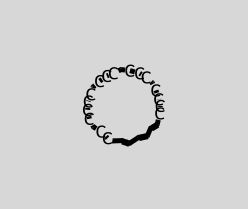 [C]1=C/C=C/C=C/CCCCCCCCCCCCCCCCCCCCC/1